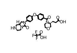 O=C(O)C(F)(F)F.O=C(O)CC[C@H]1COCCN1C(=O)c1ccc(Oc2ccc(N3C[C@@H]4CNCCN4C3=O)cc2)cc1